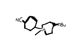 CCCCC1CC[Si](C)(C2CCC(C#N)CC2)CC1